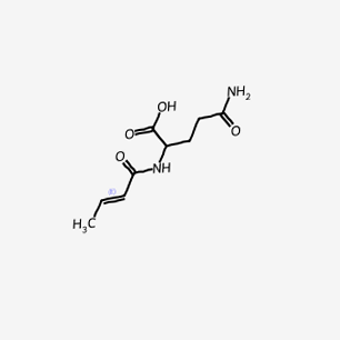 C/C=C/C(=O)NC(CCC(N)=O)C(=O)O